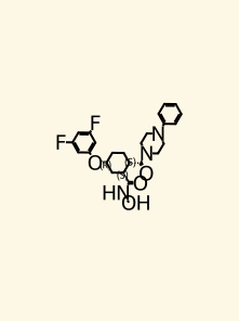 O=C(NO)[C@H]1C[C@H](Oc2cc(F)cc(F)c2)CC[C@@H]1C(=O)N1CCN(c2ccccc2)CC1